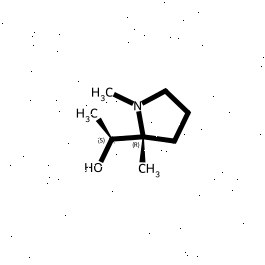 C[C@H](O)[C@@]1(C)CCCN1C